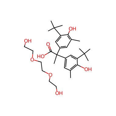 Cc1cc(C(C)(C(=O)O)c2cc(C)c(O)c(C(C)(C)C)c2)cc(C(C)(C)C)c1O.OCCOCCOCCO